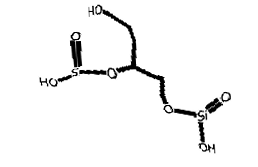 O=[Si](O)OCC(CO)O[Si](=O)O